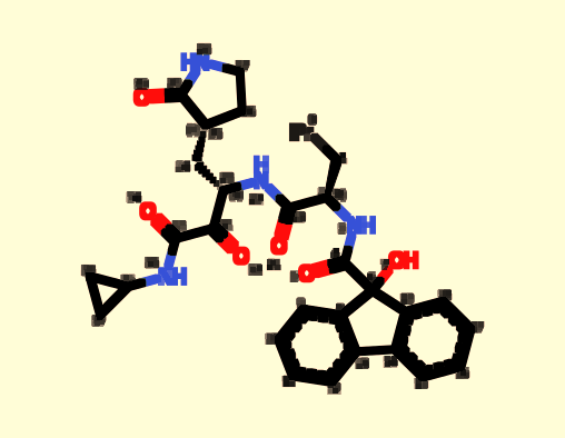 CC(C)C[C@@H](NC(=O)C1(O)c2ccccc2-c2ccccc21)C(=O)N[C@@H](C[C@H]1CCNC1=O)C(=O)C(=O)NC1CC1